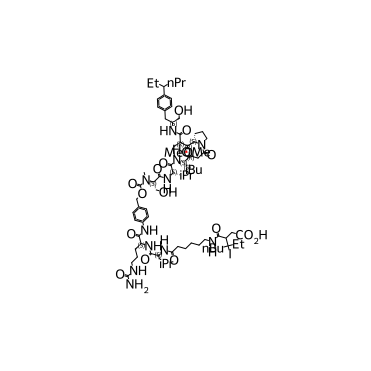 CCCCC(I)(CC)C(CC(=O)O)C(=O)NCCCCCC(=O)N[C@H](C(=O)N[C@@H](CCCNC(N)=O)C(=O)Nc1ccc(COC(=O)N(C)[C@@H](CO)C(=O)N[C@H](C(=O)N[C@@H]([C@@H](C)CC)[C@@H](CC(=O)N2CCC[C@H]2[C@H](OC)[C@@H](C)C(=O)N[C@H](CO)Cc2ccc(C(CC)CCC)cc2)OC)C(C)C)cc1)C(C)C